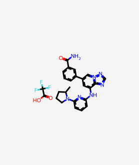 CC1CCCN1c1cccc(Nc2cc(-c3cccc(C(N)=O)c3)cn3ncnc23)n1.O=C(O)C(F)(F)F